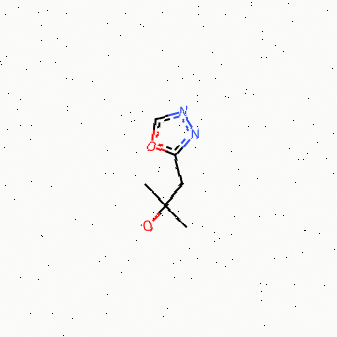 CC(C)([O])Cc1nnco1